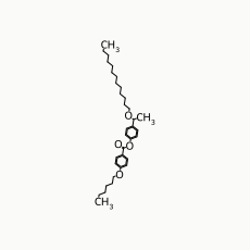 CCCCCCCCCCCCCOC(C)c1ccc(OC(=O)c2ccc(OCCCCCC)cc2)cc1